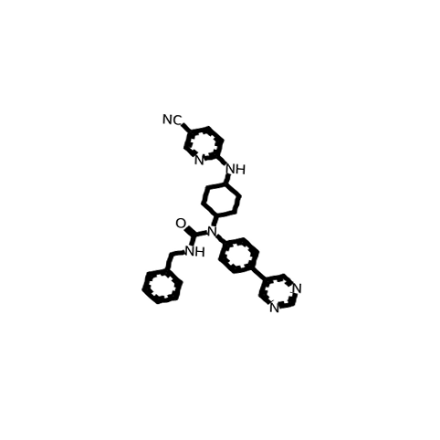 N#Cc1ccc(NC2CCC(N(C(=O)NCc3ccccc3)c3ccc(-c4cncnc4)cc3)CC2)nc1